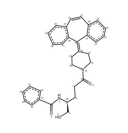 O=C(N[C@H](CO)CCC(=O)N1CCC(=C2c3ccccc3C=Cc3ccccc32)CC1)c1ccccc1